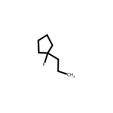 CCCC1(F)CCCC1